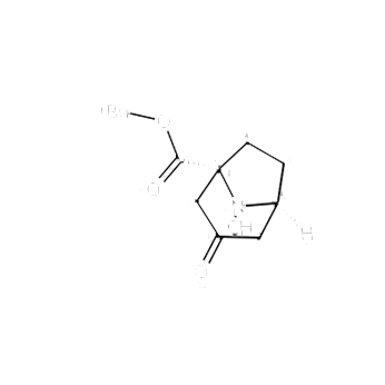 CN1[C@H]2CC[C@]1(C(=O)OC(C)(C)C)CC(=O)C2